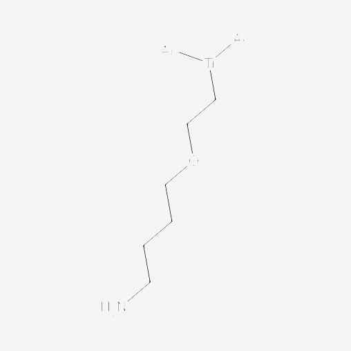 C[C](=O)[Ti]([CH2]COCCCCN)[C](C)=O